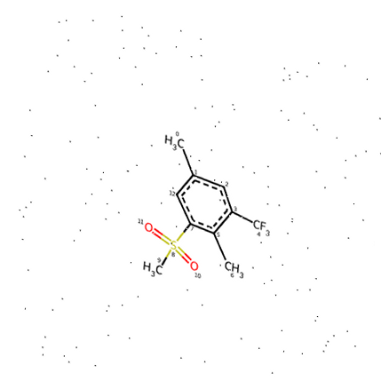 Cc1cc(C(F)(F)F)c(C)c(S(C)(=O)=O)c1